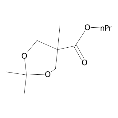 CCCOC(=O)C1(C)COC(C)(C)OC1